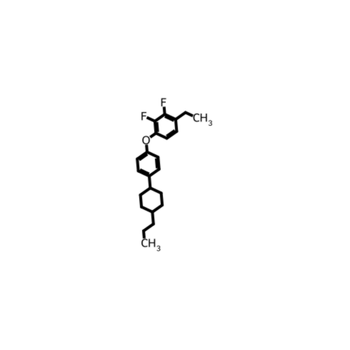 CCCC1CCC(c2ccc(Oc3ccc(CC)c(F)c3F)cc2)CC1